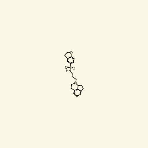 O=S(=O)(NCCCN1CCc2cccc3c2C1CC3)c1ccc2c(c1)CCO2